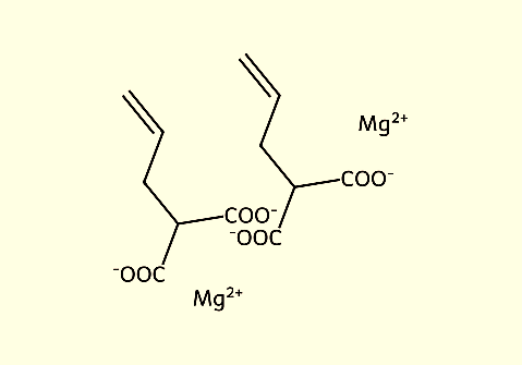 C=CCC(C(=O)[O-])C(=O)[O-].C=CCC(C(=O)[O-])C(=O)[O-].[Mg+2].[Mg+2]